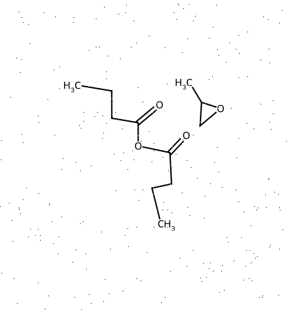 CC1CO1.CCCC(=O)OC(=O)CCC